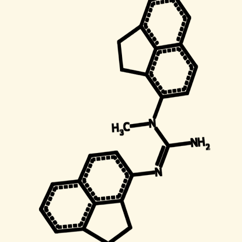 CN(C(N)=Nc1ccc2cccc3c2c1CC3)c1ccc2cccc3c2c1CC3